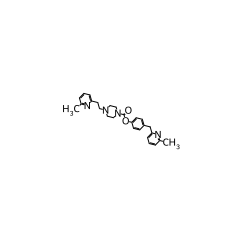 Cc1cccc(CCN2CCN(C(=O)Oc3ccc(Cc4cccc(C)n4)cc3)CC2)n1